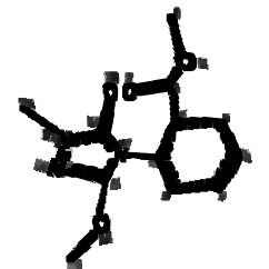 COC(=O)c1ccccc1-n1c(OC)nn(C)c1=O